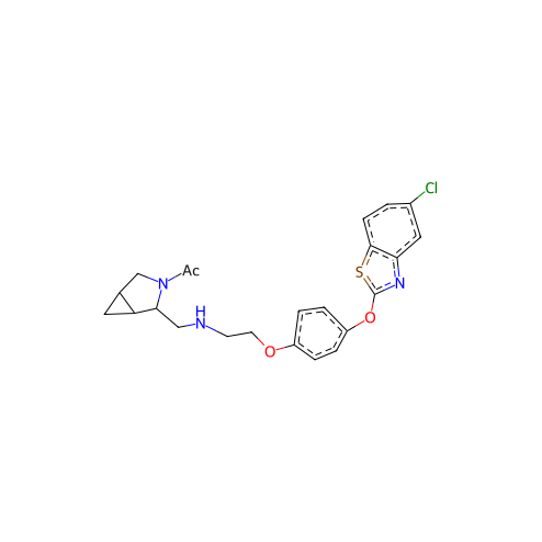 CC(=O)N1CC2CC2C1CNCCOc1ccc(Oc2nc3cc(Cl)ccc3s2)cc1